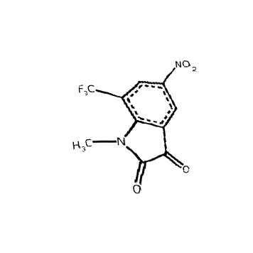 CN1C(=O)C(=O)c2cc([N+](=O)[O-])cc(C(F)(F)F)c21